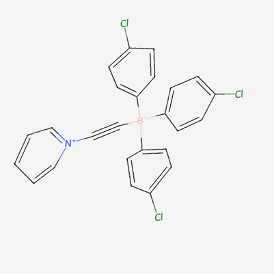 Clc1ccc([B-](C#C[n+]2ccccc2)(c2ccc(Cl)cc2)c2ccc(Cl)cc2)cc1